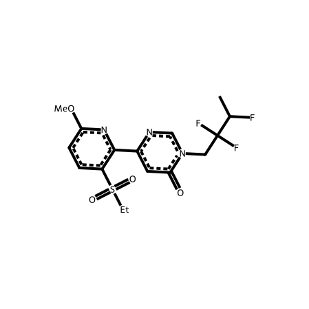 CCS(=O)(=O)c1ccc(OC)nc1-c1cc(=O)n(CC(F)(F)C(C)F)cn1